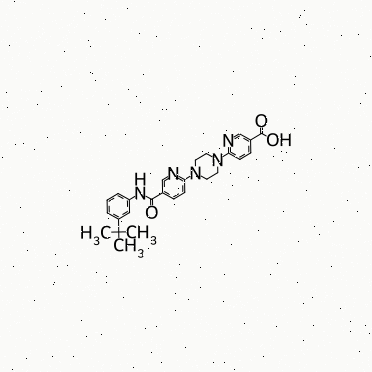 CC(C)(C)c1cccc(NC(=O)c2ccc(N3CCN(c4ccc(C(=O)O)cn4)CC3)nc2)c1